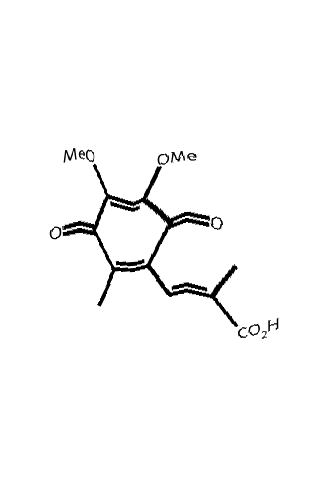 COC1=C(OC)C(=O)C(/C=C(\C)C(=O)O)=C(C)C1=O